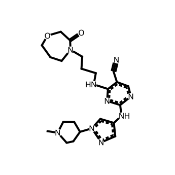 CN1CCC(n2cc(Nc3ncc(C#N)c(NCCCN4CCCOCC4=O)n3)cn2)CC1